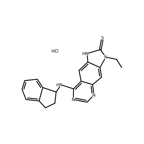 CCn1c(=S)[nH]c2cc3c(NC4CCc5ccccc54)ncnc3cc21.Cl